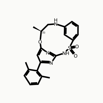 Cc1cccc(C)c1-c1cc2nc(n1)NS(=O)(=O)c1cccc(c1)NC[C@H](C)O2